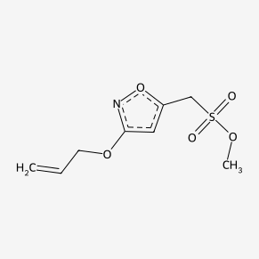 C=CCOc1cc(CS(=O)(=O)OC)on1